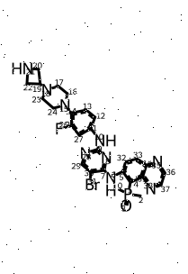 CP(C)(=O)c1c(Nc2nc(Nc3ccc(N4CCN(C5CNC5)CC4)c(F)c3)ncc2Br)ccc2nccnc12